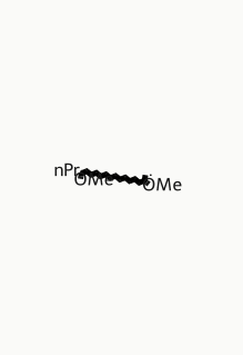 [CH2]C(CCCCCCCCCCCCC(CCC)OC)OC